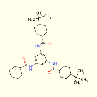 CC(C)(C)[C@H]1CC[C@H](C(=O)Nc2cc(NC(=O)C3CCCCC3)cc(NC(=O)[C@H]3CC[C@H](C(C)(C)C)CC3)c2)CC1